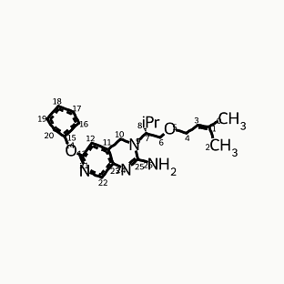 CC(C)=CCOC[C@@H](C(C)C)N1Cc2cc(Oc3ccccc3)ncc2N=C1N